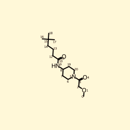 COCC(=O)N1CCC(NC(=O)CCCC(C)(C)C)CC1